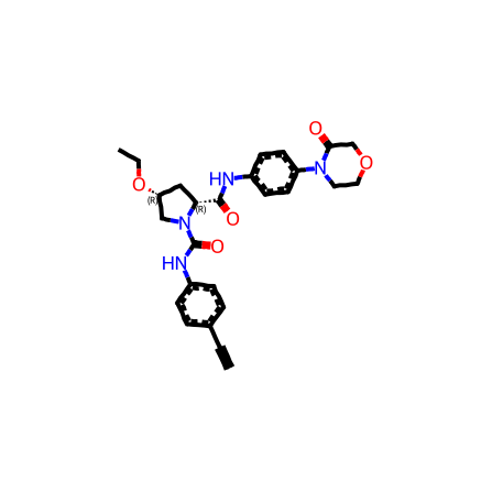 C#Cc1ccc(NC(=O)N2C[C@H](OCC)C[C@@H]2C(=O)Nc2ccc(N3CCOCC3=O)cc2)cc1